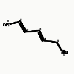 CCCC=CC=CCC(C)CC